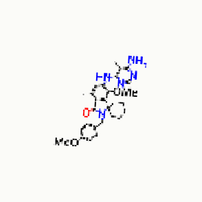 COc1ccc(CN2C(=O)c3c(C)cc(Nc4ncnc(N)c4C)c(OC)c3C23CCCCC3)cc1